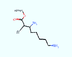 CCCCCCCOC(=O)C(CC)C(N)CCCCCN